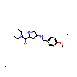 CCN(CC)C(=O)C1CC(NCc2ccc(OC)cc2)CN1